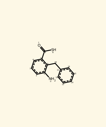 Nc1cccc(C(=O)S)c1Cc1ccccc1